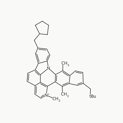 Cc1c2cc(CC(C)(C)C)ccc2c(C)c2c1c1c3c(ccc4c5cc(CC6CCCC6)ccc5n2c43)cc[n+]1C